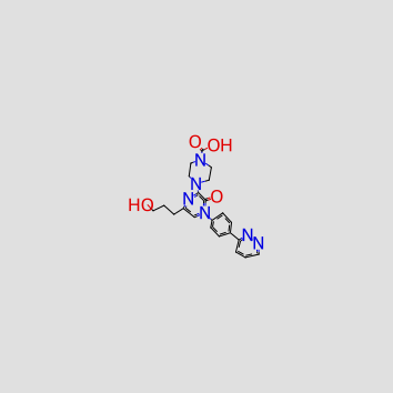 O=C(O)N1CCN(c2nc(CCCO)cn(-c3ccc(-c4cccnn4)cc3)c2=O)CC1